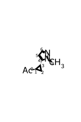 CC(=O)[C@@H]1C[C@H]1c1ccnn1C